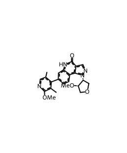 COc1ncc(C)c(-c2ccc3c(c2)[nH]c(=O)c2cnn([C@@H]4COC[C@H]4OC)c23)c1C